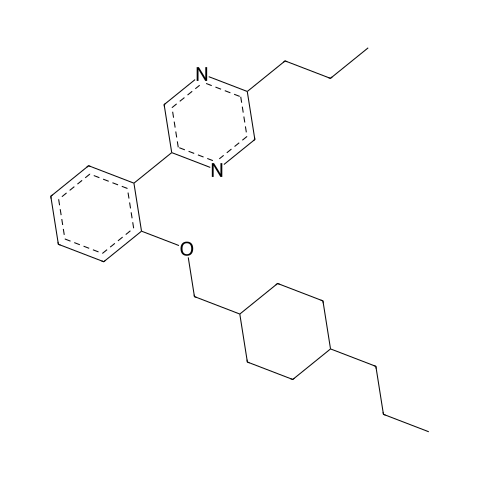 CCCc1cnc(-c2ccccc2OCC2CCC(CCC)CC2)cn1